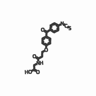 O=C(O)CNC(=O)CCOc1ccc(C(=O)c2ccc(N=C=S)cc2)cc1